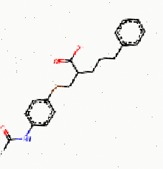 CC(=O)Nc1ccc(SCC(CCCc2ccccc2)C(=O)O)cc1